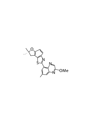 [CH2][C@@]1(C)Cc2c(ccc3nc(-c4cc(C)cc5nc(OC)cnc45)sc23)O1